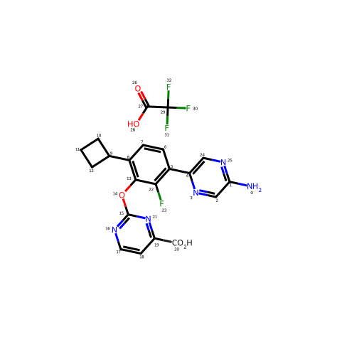 Nc1cnc(-c2ccc(C3CCC3)c(Oc3nccc(C(=O)O)n3)c2F)cn1.O=C(O)C(F)(F)F